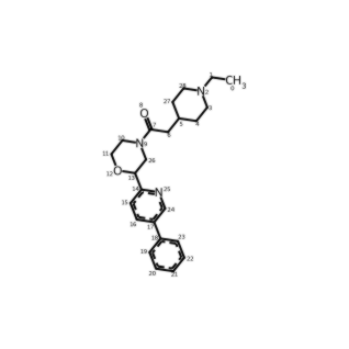 CCN1CCC(CC(=O)N2CCOC(c3ccc(-c4ccccc4)cn3)C2)CC1